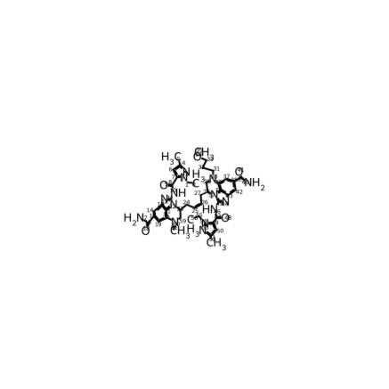 CCn1nc(C)cc1C(=O)Nc1nc2cc(C(N)=O)cc3c2n1C(C/C=C\C[C@H]1CN(CCCOC)c2cc(C(N)=O)cc4nc(NC(=O)c5cc(C)nn5CC)n1c24)CN3C